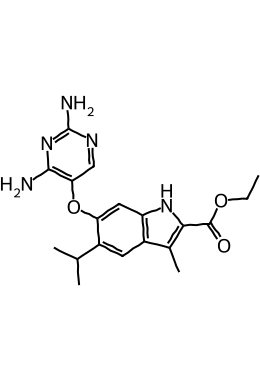 CCOC(=O)c1[nH]c2cc(Oc3cnc(N)nc3N)c(C(C)C)cc2c1C